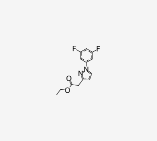 CCOC(=O)Cc1ccn(-c2cc(F)cc(F)c2)n1